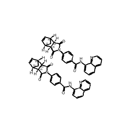 O=C(Nc1cccc2cccnc12)c1ccc(N2C(=O)[C@@H]3[C@H](C2=O)[C@@H]2C=C[C@H]3C2)cc1.O=C(Nc1cccc2cccnc12)c1ccc(N2C(=O)[C@@H]3[C@H](C2=O)[C@@H]2C=C[C@H]3C2)cc1